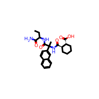 CCC(NC(=O)C(C)(NC(=O)[C@@H]1CCCC[C@H]1C(=O)O)c1ccc2ccccc2c1)C(N)=O